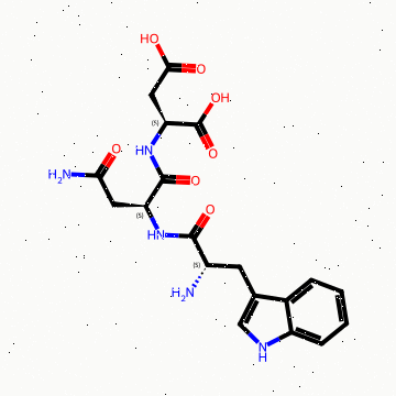 NC(=O)C[C@H](NC(=O)[C@@H](N)Cc1c[nH]c2ccccc12)C(=O)N[C@@H](CC(=O)O)C(=O)O